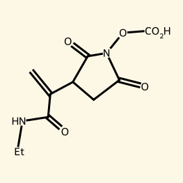 C=C(C(=O)NCC)C1CC(=O)N(OC(=O)O)C1=O